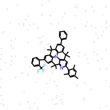 Cc1cc(C)c(-c2cc3c4c(n2)C(C)(C)c2cc(-c5ccccc5C(F)(F)F)cc5c2N4c2c(cc(-c4ccccc4)cc2C3(C)C)C5(C)C)c(C)c1